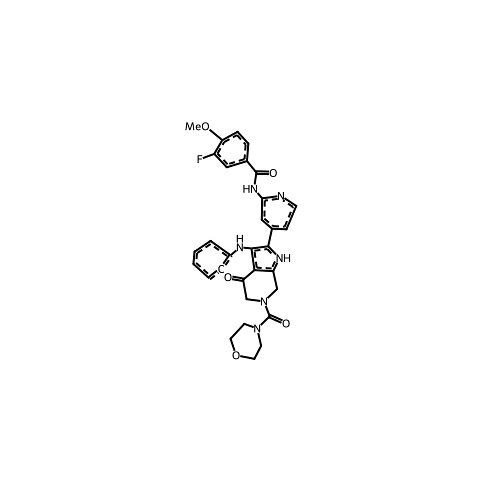 COc1ccc(C(=O)Nc2cc(-c3[nH]c4c(c3Nc3ccccc3)C(=O)CN(C(=O)N3CCOCC3)C4)ccn2)cc1F